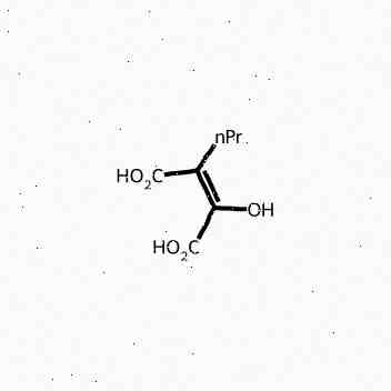 CCC/C(C(=O)O)=C(\O)C(=O)O